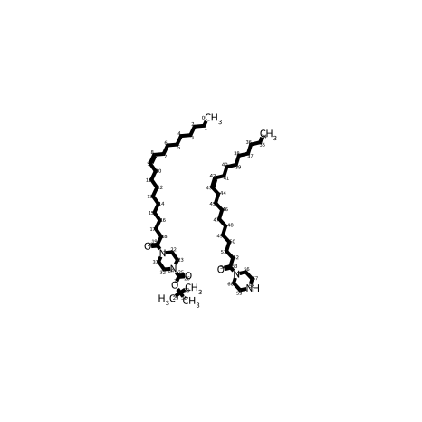 CCCCCCCC/C=C\CCCCCCCCCC(=O)N1CCN(C(=O)OC(C)(C)C)CC1.CCCCCCCC/C=C\CCCCCCCCCC(=O)N1CCNCC1